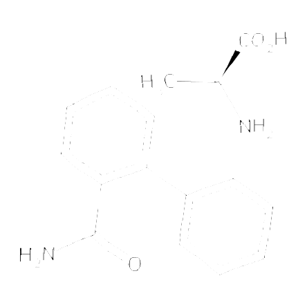 C[C@H](N)C(=O)O.NC(=O)c1ccccc1-c1ccccc1